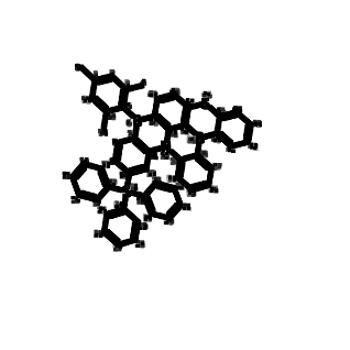 Cc1cc(C)c(B2c3ccc(S(c4ccccc4)(c4ccccc4)c4ccccc4)cc3N3c4ccccc4B4c5ccccc5Sc5ccc2c3c54)c(C)c1